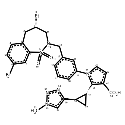 CC[C@H]1Cc2ccc(Br)cc2S(=O)(=O)N(Cc2cccc(-n3ccc(C(=O)O)c3[C@@H]3C[C@H]3c3cn(C)nn3)c2)C1